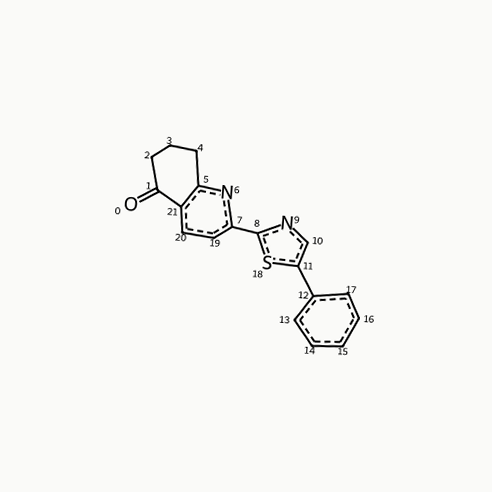 O=C1CCCc2nc(-c3ncc(-c4ccccc4)s3)ccc21